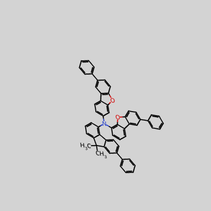 CC1(C)c2cc(-c3ccccc3)ccc2-c2c(N(c3ccc4c(c3)oc3ccc(-c5ccccc5)cc34)c3cccc4c3oc3ccc(-c5ccccc5)cc34)cccc21